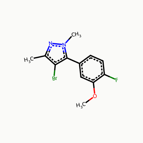 COc1cc(-c2c(Br)c(C)nn2C)ccc1F